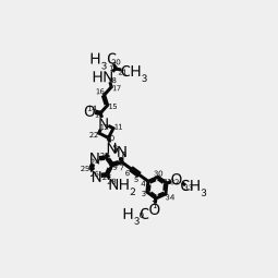 COc1cc(C#Cc2nn(C3CN(C(=O)C=CCNC(C)C)C3)c3ncnc(N)c23)cc(OC)c1